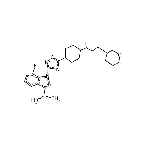 CC(C)c1nn(-c2noc(C3CCC(NCCC4CCCOC4)CC3)n2)c2c(F)cccc12